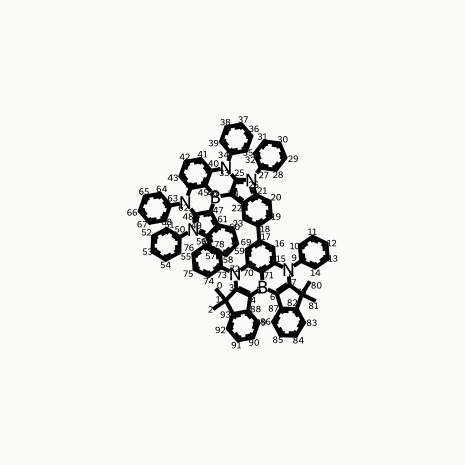 CC1(C)C2=C(B3C4=C(N(c5ccccc5)c5cc(-c6ccc7c(c6)c6c(n7-c7ccccc7)N(c7ccccc7)c7cccc8c7B6c6c(n(-c7ccccc7)c7ccccc67)N8c6ccccc6)cc(c53)N2c2ccccc2)C(C)(C)c2ccccc24)c2ccccc21